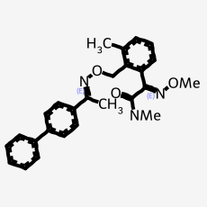 CNC(=O)/C(=N/OC)c1cccc(C)c1CO/N=C(\C)c1ccc(-c2ccccc2)cc1